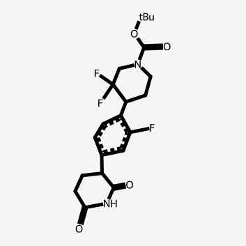 CC(C)(C)OC(=O)N1CCC(c2ccc(C3CCC(=O)NC3=O)cc2F)C(F)(F)C1